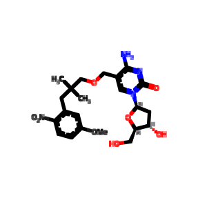 COc1ccc([N+](=O)[O-])c(CC(C)(C)COCc2cn([C@H]3C[C@H](O)[C@@H](CO)O3)c(=O)nc2N)c1